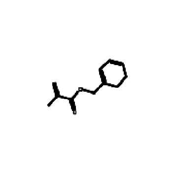 C=C(C)C(=O)OCC1=CC=CCC1